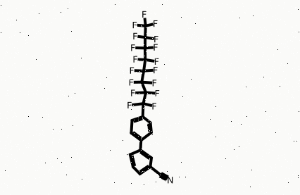 N#Cc1cc[c]c(-c2ccc(C(F)(F)C(F)(F)C(F)(F)C(F)(F)C(F)(F)C(F)(F)C(F)(F)C(F)(F)F)cc2)c1